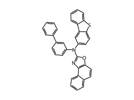 c1ccc(-c2cccc(N(c3ccc4sc5ccccc5c4c3)c3nc4c(ccc5ccccc54)o3)c2)cc1